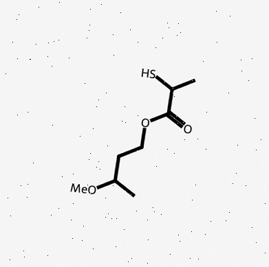 COC(C)CCOC(=O)C(C)S